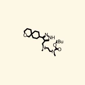 CN(CCN(C)C(=O)OC(C)(C)C)Cc1c[nH]nc1C1CCC2(CCCOC2)CC1